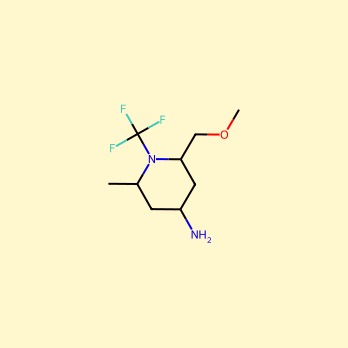 COCC1CC(N)CC(C)N1C(F)(F)F